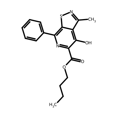 CCCCOC(=O)c1nc(-c2ccccc2)c2snc(C)c2c1O